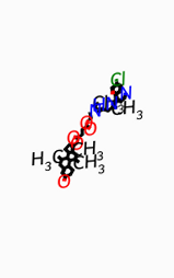 CCN(CCCC(C)Nc1ccnc2cc(Cl)ccc12)CCOC(=O)CCC(=O)OC1CCC2C3C(C)CC4=CC(=O)CCC4C3C(C)CC12C